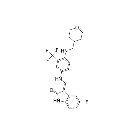 O=C1Nc2ccc(F)cc2C1=CNc1ccc(NCC2CCOCC2)c(C(F)(F)F)c1